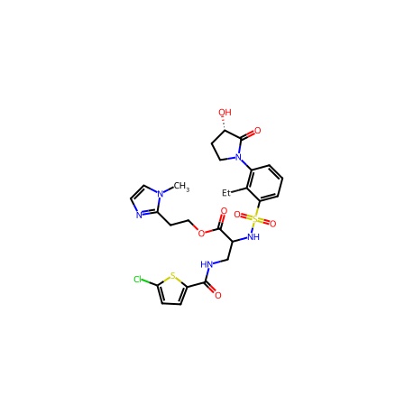 CCc1c(N2CC[C@H](O)C2=O)cccc1S(=O)(=O)NC(CNC(=O)c1ccc(Cl)s1)C(=O)OCCc1nccn1C